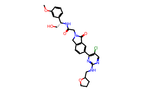 COc1cccc([C@@H](CO)NC(=O)CN2Cc3ccc(-c4nc(NCC5CCCO5)ncc4Cl)cc3C2=O)c1